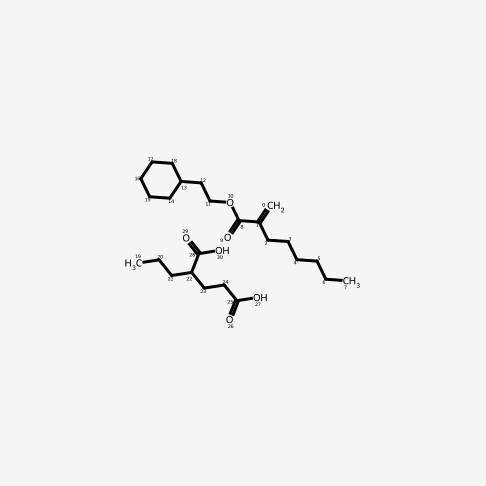 C=C(CCCCCC)C(=O)OCCC1CCCCC1.CCCC(CCC(=O)O)C(=O)O